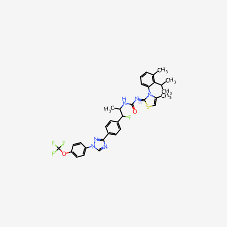 Cc1cccc(-n2c(C)cs/c2=N\C(=O)NC(C)C(F)c2ccc(-c3ncn(-c4ccc(OC(F)(F)F)cc4)n3)cc2)c1C(C)C